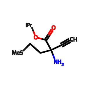 C#CC(N)(CCSC)C(=O)OC(C)C